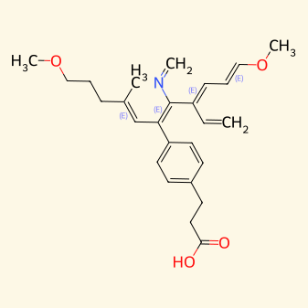 C=CC(=C\C=C\OC)/C(N=C)=C(/C=C(\C)CCCOC)c1ccc(CCC(=O)O)cc1